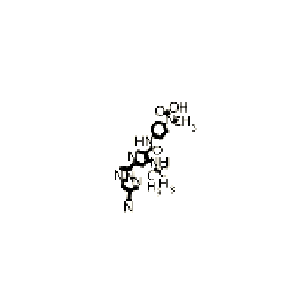 CC(C)Nc1cc(-c2cnc3cc(C#N)cnn23)ncc1C(=O)N[C@H]1CC[C@H](N(C)C(=O)O)CC1